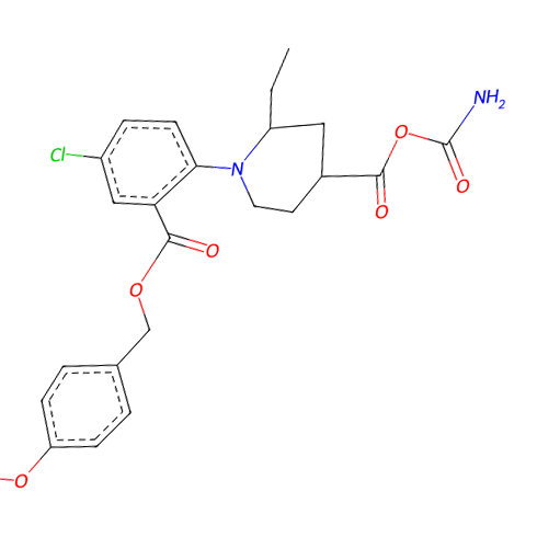 CCC1CC(C(=O)OC(N)=O)CCN1c1ccc(Cl)cc1C(=O)OCc1ccc(OC)cc1